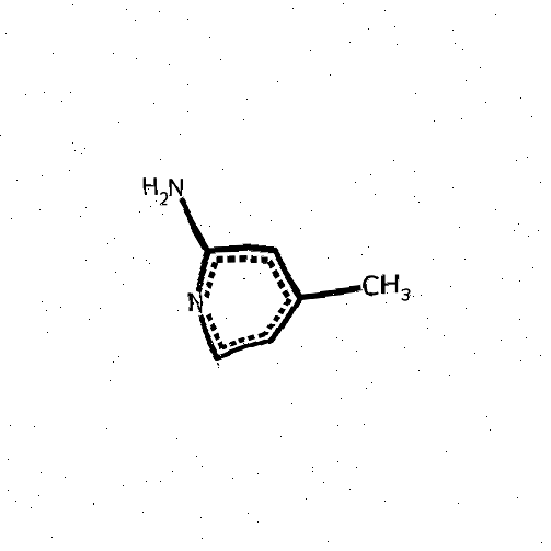 Cc1c[c]nc(N)c1